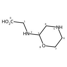 O=C(O)CNC1CNCCO1